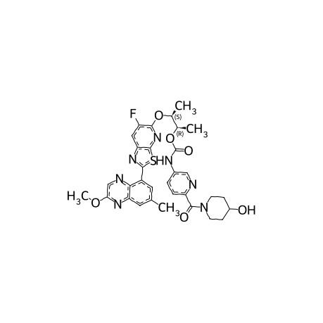 COc1cnc2c(-c3nc4cc(F)c(O[C@@H](C)[C@@H](C)OC(=O)Nc5ccc(C(=O)N6CCC(O)CC6)nc5)nc4s3)cc(C)cc2n1